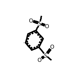 CS(=O)(=O)c1c[c]cc(S(C)(=O)=O)c1